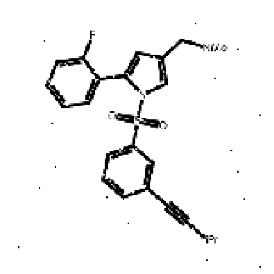 CNCc1cc(-c2ccccc2F)n(S(=O)(=O)c2cccc(C#CC(C)C)c2)c1